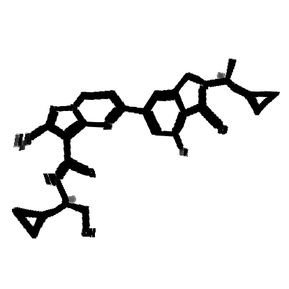 CCc1cc(-c2ccn3nc(N)c(C(=O)N[C@@H](CO)C4CC4)c3n2)cc2c1C(=O)N([C@@H](C)C1CC1)C2